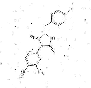 [C-]#[N+]c1ccc(N2C(=O)C(Cc3ccc(F)cc3)NC2=S)cc1C